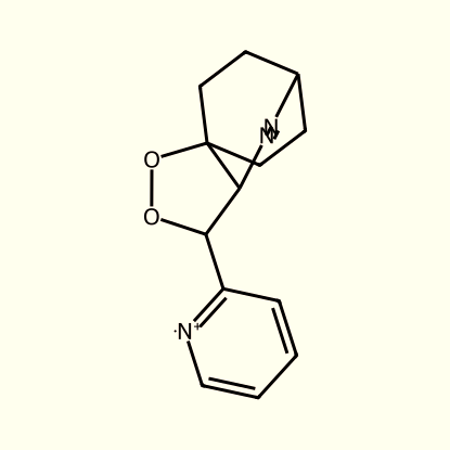 C1=C[N+]=C(C2OOC34CCC(CC3)N=NC24)C=C1